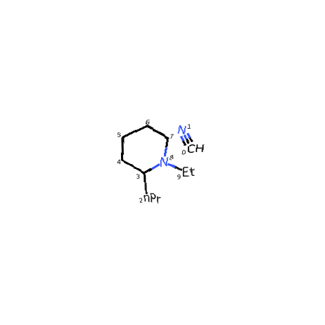 C#N.CCCC1CCCCN1CC